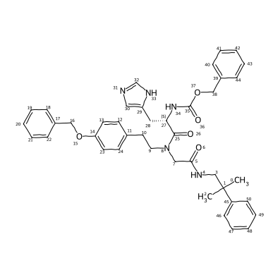 CC(C)(CNC(=O)CN(CCc1ccc(OCc2ccccc2)cc1)C(=O)[C@H](Cc1cnc[nH]1)NC(=O)OCc1ccccc1)c1ccccc1